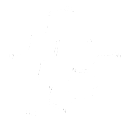 CSc1ccc(Cn2c(C)nc3ccc(C(=O)O)nc32)c(Cl)c1